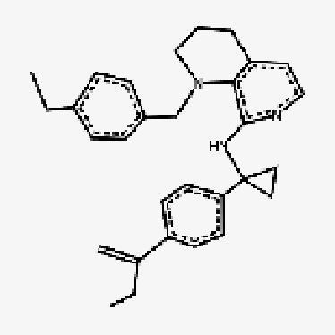 C=C(CC)c1ccc(C2(Nc3nccc4c3N(Cc3ccc(CC)cc3)CCC4)CC2)cc1